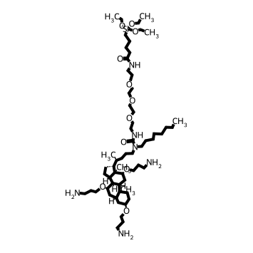 CCCCCCCCN(CCC[C@@H](C)[C@H]1CC[C@H]2[C@@H]3[C@H](OCCCN)C[C@@H]4C[C@H](OCCCN)CC[C@]4(C)[C@H]3C[C@H](OCCCN)[C@]12C)C(=O)NCCOCCOCCOCCNC(=O)CCCC[Si](OCC)(OCC)OCC